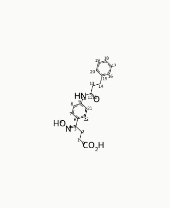 O=C(O)CC/C(=N/O)c1ccc(NC(=O)CCc2ccccc2)cc1